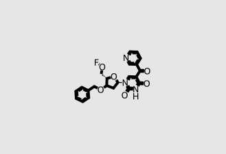 O=C(c1cccnc1)c1cn([C@@H]2CC(OCc3ccccc3)[C@H](COF)O2)c(=O)[nH]c1=O